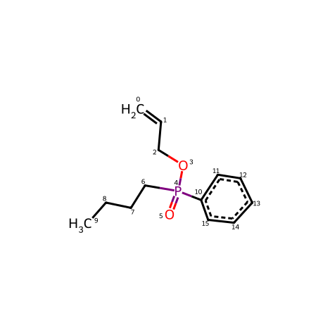 C=CCOP(=O)(CCCC)c1ccccc1